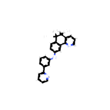 CC1(C)c2ccc(Nc3cccc(-c4ccccn4)c3)cc2-c2ncccc2C1(C)C